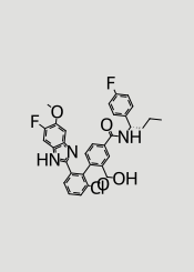 CCC[C@H](NC(=O)c1ccc(-c2c(Cl)cccc2-c2nc3cc(OC)c(F)cc3[nH]2)c(C(=O)O)c1)c1ccc(F)cc1